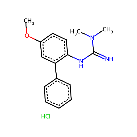 COc1ccc(NC(=N)N(C)C)c(-c2ccccc2)c1.Cl